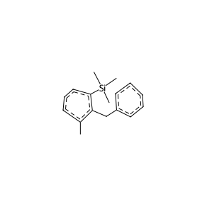 Cc1cccc([Si](C)(C)C)c1Cc1ccccc1